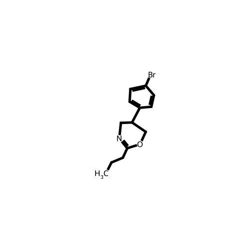 CCCC1=NCC(c2ccc(Br)cc2)CO1